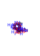 Cc1cc(C)c(/C=C2\C(=O)N(COC(=O)C(C)C(C)C(=O)N[C@@H](CCN)C(=O)N[C@H](C(=O)N[C@@H](CCN)C(=O)N[C@H]3CCNC(=O)[C@H]([C@@H](C)O)NC(=O)[C@H](CCN)NC(=O)[C@H](CCN)NC(=O)[C@H](CC(C)C)NC(=O)[C@@H](Cc4ccccc4)NC(=O)[C@H](CCN)NC3=O)[C@@H](C)O)c3ccccc32)[nH]1